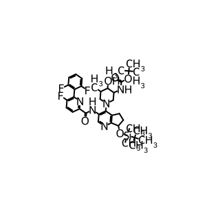 CC1CN(c2c(NC(=O)c3ccc(F)c(-c4c(F)cccc4F)n3)cnc3c2CCC3O[Si](C)(C)C(C)(C)C)CC(NC(=O)OC(C)(C)C)C1O